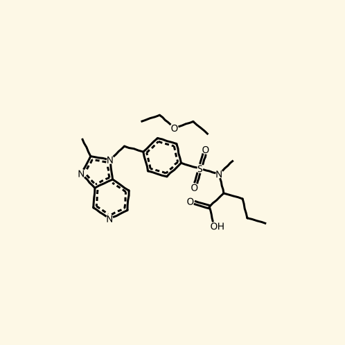 CCCC(C(=O)O)N(C)S(=O)(=O)c1ccc(Cn2c(C)nc3cnccc32)cc1.CCOCC